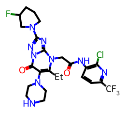 CCc1c(N2CCNCC2)c(=O)n2nc(N3CCCC(F)C3)nc2n1CC(=O)Nc1ccc(C(F)(F)F)nc1Cl